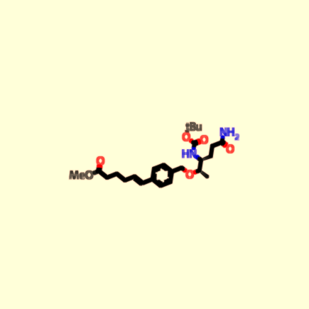 COC(=O)CCC/C=C/c1ccc(CO[C@H](C)[C@H](CCC(N)=O)NC(=O)OC(C)(C)C)cc1